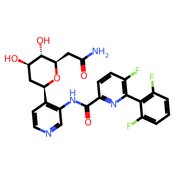 NC(=O)C[C@H]1O[C@@H](c2ccncc2NC(=O)c2ccc(F)c(-c3c(F)cccc3F)n2)C[C@@H](O)[C@@H]1O